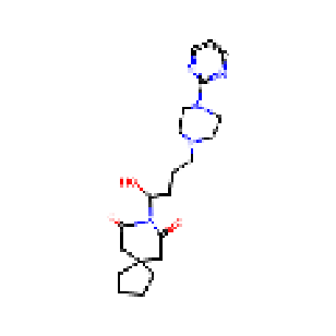 O=C1CC2(CCCC2)CC(=O)N1C(O)CCCN1CCN(c2ncccn2)CC1